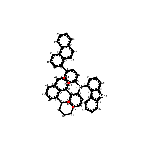 c1ccc(N(c2ccc(-c3cccc4c3ccc3ccccc34)cc2)c2cccc3sc4ccccc4c23)c(-c2cccc3cccc(C4CCCCC4)c23)c1